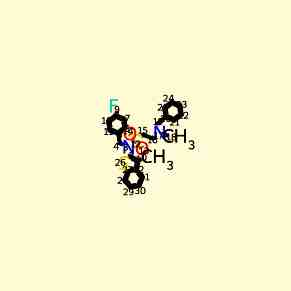 Cc1c(N(Cc2ccc(F)cc2)S(=O)(=O)CCN(C)Cc2ccccc2)sc2ccccc12